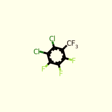 Fc1c(F)c(Cl)c(Cl)c(C(F)(F)F)c1F